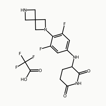 O=C(O)C(F)(F)F.O=C1CCC(Nc2cc(F)c(N3CC4(CNC4)C3)c(F)c2)C(=O)N1